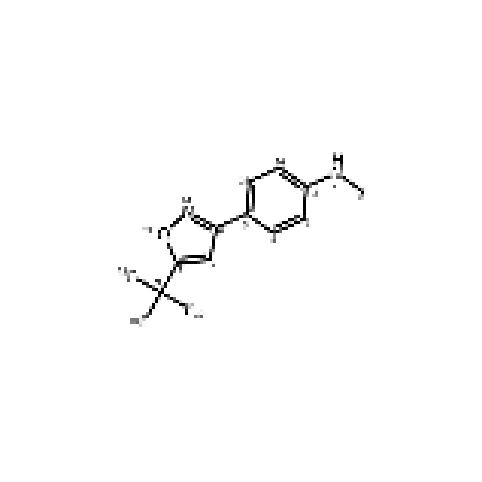 CNc1ccc(-c2cc(C(F)(F)F)on2)cc1